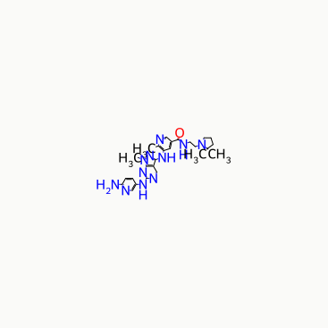 Cc1ncc(C(=O)NCCN2CCCC2(C)C)cc1Nc1nn(C)c2nc(Nc3ccc(N)nc3)ncc12